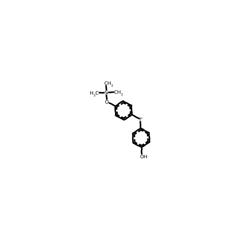 C[Si](C)(C)Oc1ccc([I+]c2ccc(O)cc2)cc1